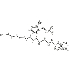 CCCCCCCCCCCCCCCC[N+](C)(C)C.O=C([O-])C=Cc1ccccc1O